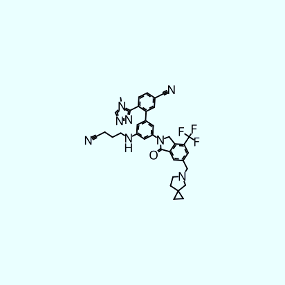 Cn1cnnc1-c1ccc(C#N)cc1-c1cc(NCCCC#N)cc(N2Cc3c(cc(CN4CCC5(CC5)C4)cc3C(F)(F)F)C2=O)c1